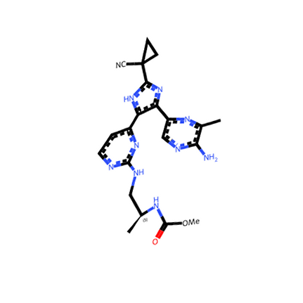 COC(=O)N[C@@H](C)CNc1nccc(-c2[nH]c(C3(C#N)CC3)nc2-c2cnc(N)c(C)n2)n1